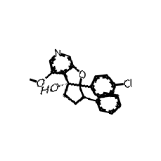 COc1cncc2c1[C@]1(O)CCC(c3ccccc3)C1(c1ccc(Cl)cc1)O2